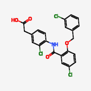 O=C(O)Cc1ccc(NC(=O)c2cc(Cl)ccc2OCc2cccc(Cl)c2)c(Cl)c1